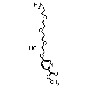 COC(=O)c1ccc(OCCOCCOCCOCCN)cn1.Cl